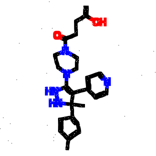 C=C(O)CCC(=O)N1CCN(C2=C(c3ccncc3)C(C)(c3ccc(C)cc3)NN2)CC1